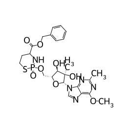 COc1nc(C)nc2c1ncn2[C@@H]1O[C@H](COP2(=O)NC(C(=O)OCc3ccccc3)CCS2)[C@@H](O)[C@@]1(C)O